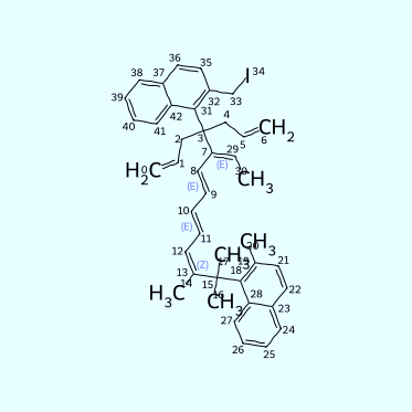 C=CCC(CC=C)(C(/C=C/C=C/C=C(/C)C(C)(C)c1c(C)ccc2ccccc12)=C/C)c1c(CI)ccc2ccccc12